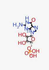 Nc1nc2c(nc[15n]2[C@@H]2O[C@H](COP(=O)(O)O)[C@@H](O)[C@H]2O)c(=O)[nH]1